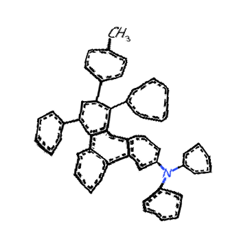 Cc1ccc(-c2cc(-c3ccccc3)c3c4ccccc4c4cc(N(c5ccccc5)c5ccccc5)ccc4c3c2-c2ccccc2)cc1